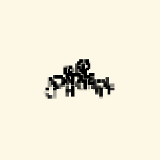 CC(NSc1c(Cl)c(C(=O)Nc2ccnc(Cl)c2)n2c1C=CCC2)OC(F)(F)F